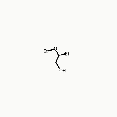 CCO[C@@H](CC)CO